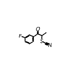 CC(SC#N)C(=O)c1cccc(F)c1